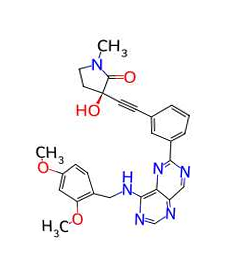 COc1ccc(CNc2ncnc3cnc(-c4cccc(C#C[C@]5(O)CCN(C)C5=O)c4)nc23)c(OC)c1